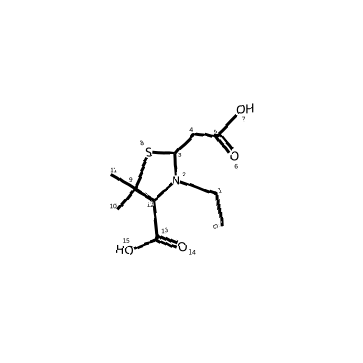 CCN1C(CC(=O)O)SC(C)(C)C1C(=O)O